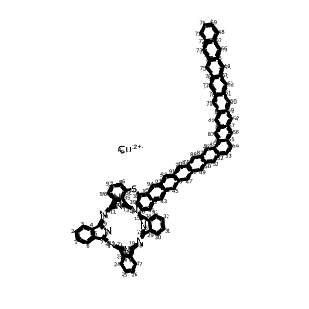 [Cu+2].c1ccc2c(c1)-c1nc-2nc2[nH]c(nc3nc(nc4[nH]c(n1)c1ccccc41)-c1ccccc1-3)c1c(Sc3cccc4cc5cc6cc7cc8cc9ccc%10cc%11cc%12cc%13cc%14cc%15cc%16ccccc%16cc%15cc%14cc%13cc%12cc%11cc%10c9cc8cc7cc6cc5cc34)cccc21